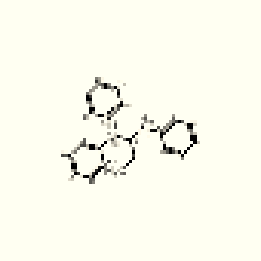 CCC([SiH2]c1ccccc1)[SiH](c1ccccc1)c1ccccc1